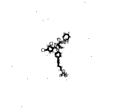 Cc1c(C(=O)NN2CCCCC2)nc(-c2ccc(Cl)cc2Cl)n1-c1ccc(C#CCCCO[N+](=O)[O-])cc1